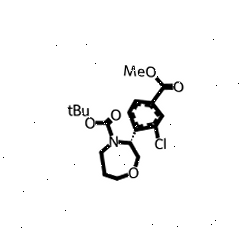 COC(=O)c1ccc([C@@H]2COCCCN2C(=O)OC(C)(C)C)c(Cl)c1